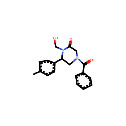 Cc1ccc(C2CN(C(=O)c3ccccc3)CC(=O)N2CO)cc1